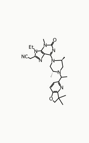 CCn1c(CC#N)nc2c(N3C[C@@H](C)N(C(C)c4ccc5c(n4)C(C)(C)CO5)C[C@@H]3C)nc(=O)n(C)c21